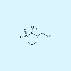 CC(C)CC1CCCS(=O)(=O)N1C